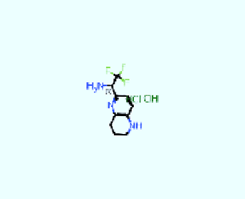 Cl.Cl.N[C@H](c1ccc2c(n1)CCCN2)C(F)(F)F